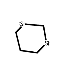 C1C[Si]C[Si]C1